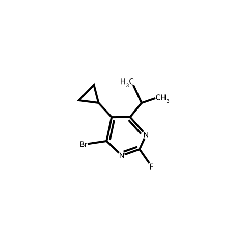 CC(C)c1nc(F)nc(Br)c1C1CC1